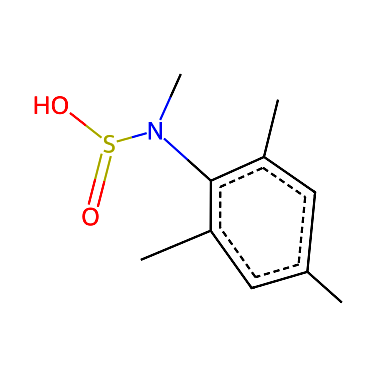 Cc1cc(C)c(N(C)S(=O)O)c(C)c1